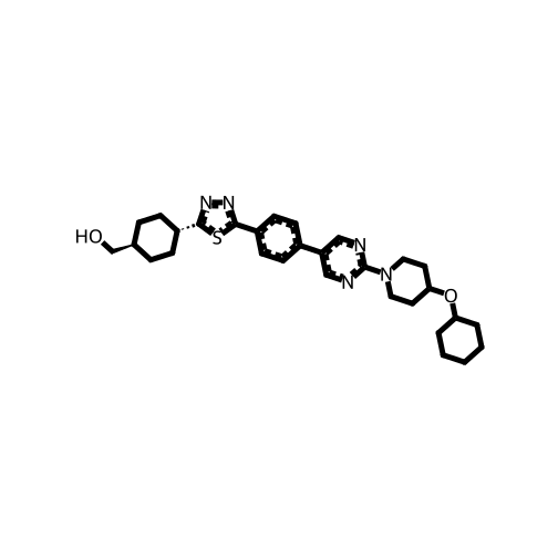 OC[C@H]1CC[C@H](c2nnc(-c3ccc(-c4cnc(N5CCC(OC6CCCCC6)CC5)nc4)cc3)s2)CC1